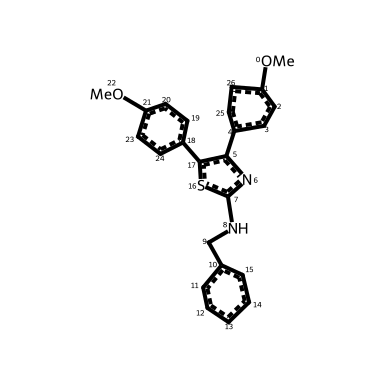 COc1ccc(-c2nc(NCc3ccccc3)sc2-c2ccc(OC)cc2)cc1